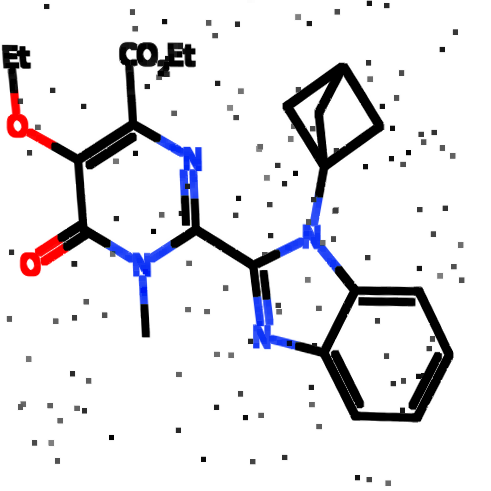 CCOC(=O)c1nc(-c2nc3ccccc3n2C23CC(C2)C3)n(C)c(=O)c1OCC